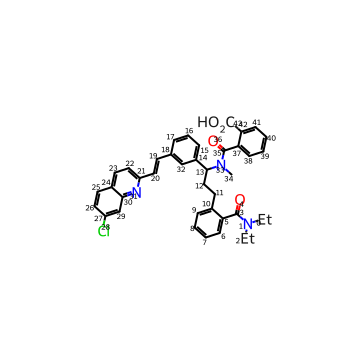 CCN(CC)C(=O)c1ccccc1CCC(c1cccc(/C=C/c2ccc3ccc(Cl)cc3n2)c1)N(C)C(=O)c1ccccc1C(=O)O